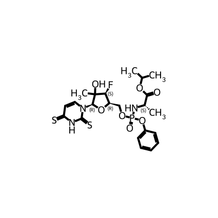 CC(C)OC(=O)[C@H](C)NP(=O)(OC[C@H]1O[C@@H](n2ccc(=S)[nH]c2=S)C(C)(O)[C@H]1F)Oc1ccccc1